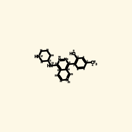 Oc1cc(C(F)(F)F)ccc1-c1nnc(N[C@@H]2CCCNC2)c2ccncc12